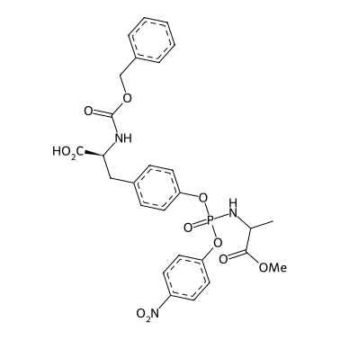 COC(=O)C(C)NP(=O)(Oc1ccc(C[C@H](NC(=O)OCc2ccccc2)C(=O)O)cc1)Oc1ccc([N+](=O)[O-])cc1